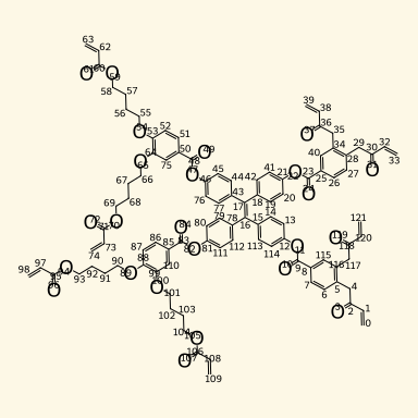 C=CC(=O)Cc1ccc(C(=O)Oc2ccc(/C(=C(\c3ccc(OC(=O)c4ccc(CC(=O)C=C)c(CC(=O)C=C)c4)cc3)c3ccc(OC(=O)c4ccc(OCCCCOC(=O)C=C)c(OCCCCOC(=O)C=C)c4)cc3)c3ccc(OC(=O)c4ccc(OCCCCOC(=O)C=C)c(OCCCCOC(=O)C=C)c4)cc3)cc2)cc1CC(=O)C=C